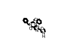 C=C[C@H]1CN(Cc2ccccc2)C(=O)c2cnc(C3CNCCO3)nc2N1C1CCCCC1